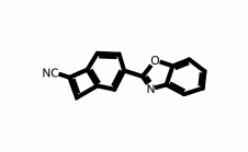 N#CC1=Cc2cc(-c3nc4ccccc4o3)ccc21